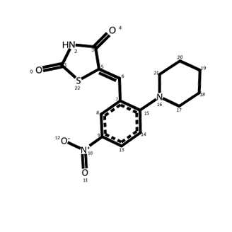 O=C1NC(=O)C(=Cc2cc([N+](=O)[O-])ccc2N2CCCCC2)S1